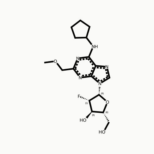 COCc1nc(NC2CCCC2)c2ncn([C@@H]3O[C@H](CO)[C@@H](O)[C@@H]3F)c2n1